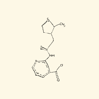 CC1SCCC1CC(=O)Nc1ncccc1C(=O)Cl